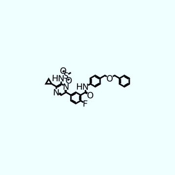 CS(=O)(=O)Nc1nc(-c2ccc(F)c(C(=O)Nc3ccc(COCc4ccccc4)cc3)c2)cnc1C1CC1